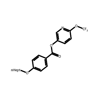 CCCCCCCOc1ccc(C(=O)Oc2ccc(OC(F)(F)F)nc2)cc1